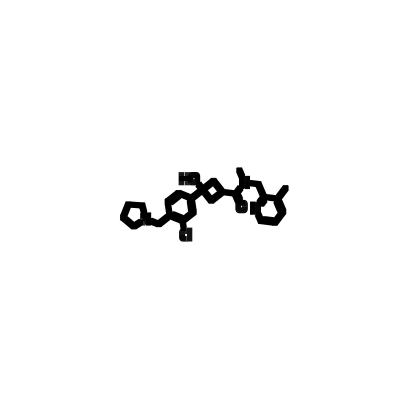 Cc1cccnc1CN(C)C(=O)C1CC(O)(c2ccc(CN3CCCC3)c(Cl)c2)C1